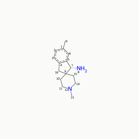 Cc1ccc2c(c1)[C@H](N)C1(CCN(C)CC1)C2